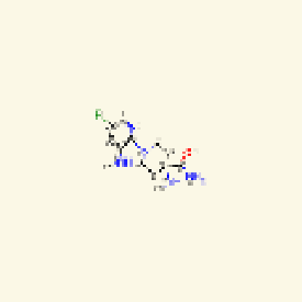 CNc1cc(F)cnc1N1CCC(NC)(C(N)=O)CC1